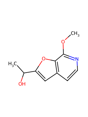 COc1nccc2cc(C(C)O)oc12